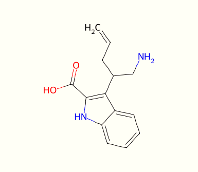 C=CCC(CN)c1c(C(=O)O)[nH]c2ccccc12